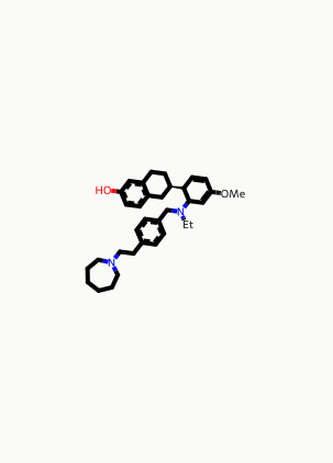 CCN(Cc1ccc(CCN2CCCCCC2)cc1)C1C=C(OC)C=CC1[C@@H]1CCc2cc(O)ccc2C1